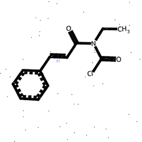 CCN(C(=O)Cl)C(=O)/C=C/c1ccccc1